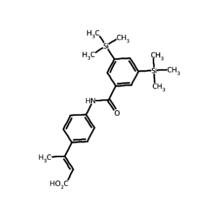 CC(=CC(=O)O)c1ccc(NC(=O)c2cc([Si](C)(C)C)cc([Si](C)(C)C)c2)cc1